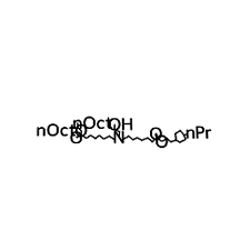 CCCCCCCCC(CCCCCCCC)OC(=O)CCCCCCCN(CCO)CCCCCCCC(=O)OCCC1CCC(CCC)CC1